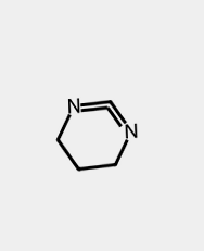 C1=NCCCN=1